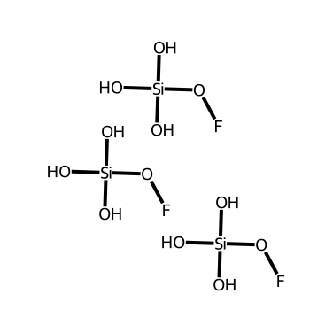 O[Si](O)(O)OF.O[Si](O)(O)OF.O[Si](O)(O)OF